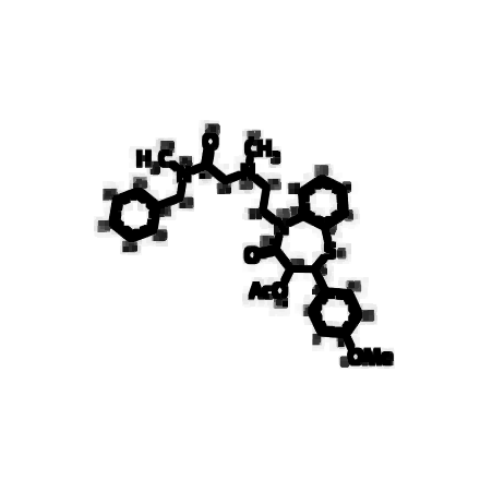 COc1ccc(C2Sc3ccccc3N(CCN(C)CC(=O)N(C)Cc3ccccc3)C(=O)C2OC(C)=O)cc1